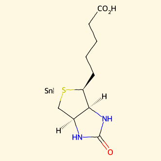 O=C(O)CCCC[C@@H]1SC[C@@H]2NC(=O)N[C@@H]21.[Sn]